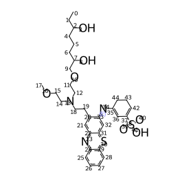 CCC(O)CCCC(O)COCCN(CCOC)CCc1cc2nc3ccccc3sc-2c/c1=N\C1=CC(S(=O)(=O)O)=CCC1